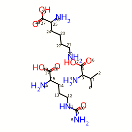 CC(C)C(N)C(=O)O.NC(=O)NCCCC(N)C(=O)O.NCCCCC(N)C(=O)O